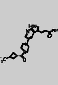 NC(=O)/C=C/c1c[nH]c2ncc(N3CCN(C(=O)[C@H]4C[C@H](C(F)(F)F)C4)CC3)cc12